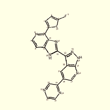 Fc1ccc(-c2nccc3[nH]c(-c4n[nH]c5ncc(-c6cnccn6)cc45)nc23)s1